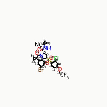 N#CC1(NC(=O)[C@@H]2C[C@@H](S(=O)(=O)c3ccc(OCC(F)(F)F)cc3Cl)CN2C(=O)C2(c3cccc(Br)c3)CC2)CC1